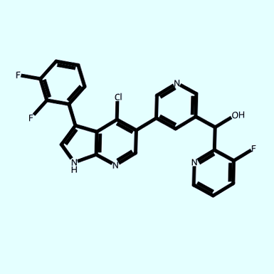 OC(c1cncc(-c2cnc3[nH]cc(-c4cccc(F)c4F)c3c2Cl)c1)c1ncccc1F